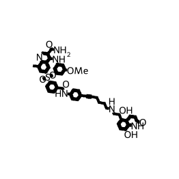 COc1cccc(Nc2c(C(N)=O)cnc3c(C)cc(S(=O)(=O)c4cccc(C(=O)Nc5ccc(C#CCCCCNC[C@H](O)c6ccc(O)c7[nH]c(=O)ccc67)cc5)c4)cc23)c1